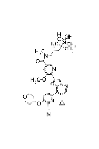 COc1cc(C(=O)N(C)CCCC(C)(C)[Si](C)(C)O)cnc1-c1cc2ncc(C3CC3)c(-c3ccc(OC4CCOCC4)c(C#N)n3)c2o1